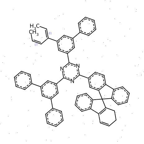 C/C=C\C(=C/C)c1cc(-c2ccccc2)cc(-c2nc(-c3cc(-c4ccccc4)cc(-c4ccccc4)c3)nc(-c3ccc4c(c3)C3(C5=C(C=CCC5)c5ccccc53)c3ccccc3-4)n2)c1